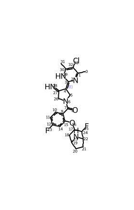 CC1=N/C(=C2\CN(C(=O)c3ccc(F)cc3OC3CC4CCC(N4)C3F)CC2=N)NC(C)=C1Cl